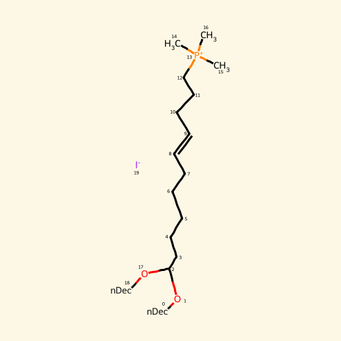 CCCCCCCCCCOC(CCCCC/C=C/CCC[P+](C)(C)C)OCCCCCCCCCC.[I-]